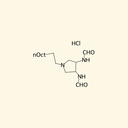 CCCCCCCCCCN1CC(NC=O)C(NC=O)C1.Cl